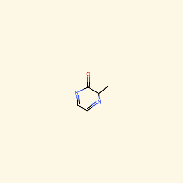 CC1N=CC=NC1=O